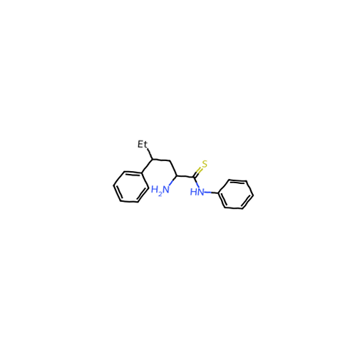 CCC(CC(N)C(=S)Nc1ccccc1)c1ccccc1